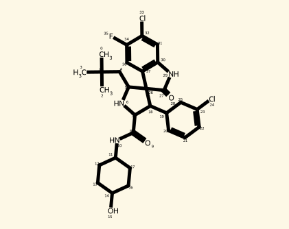 CC(C)(C)CC1NC(C(=O)NC2CCC(O)CC2)C(C2C=CC=C(Cl)C2)C12C(=O)Nc1cc(Cl)c(F)cc12